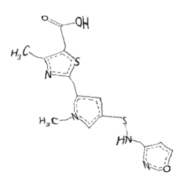 Cc1nc(-c2cc(SNc3ccon3)cn2C)sc1C(=O)O